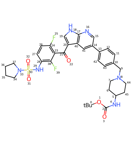 CC(C)(C)OC(=O)NC1CCN(Cc2ccc(-c3cnc4[nH]cc(C(=O)c5c(F)ccc(NS(=O)(=O)N6CCCC6)c5F)c4c3)cc2)CC1